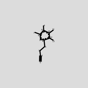 [C]#CCCc1cc(C)c(C)c(C)c1C